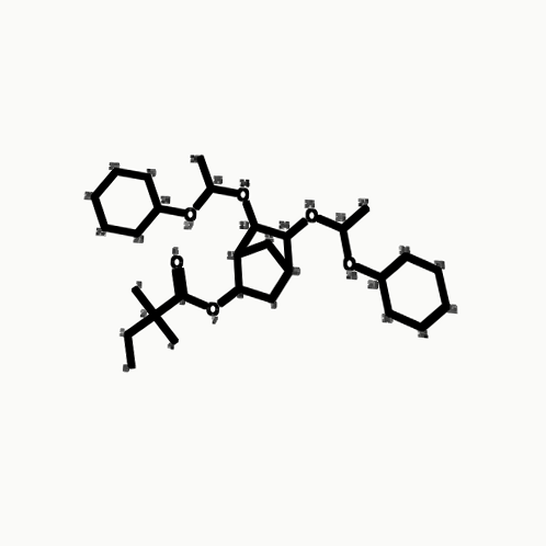 CCC(C)(C)C(=O)OC1CC2CC1C(OC(C)OC1CCCCC1)C2OC(C)OC1CCCCC1